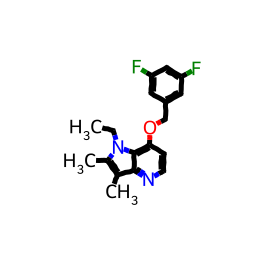 CCn1c(C)c(C)c2nccc(OCc3cc(F)cc(F)c3)c21